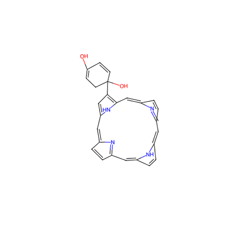 OC1=CCC(O)(c2cc3cc4nc(cc5ccc(cc6nc(cc2[nH]3)C=C6)[nH]5)C=C4)C=C1